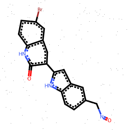 O=NCc1ccc2[nH]c(-c3cc4cc(Br)ccc4[nH]c3=O)cc2c1